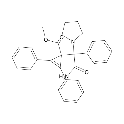 COC(=O)C1(C(C(N)=O)(c2ccccc2)N2CCCC2)C(c2ccccc2)=C1c1ccccc1